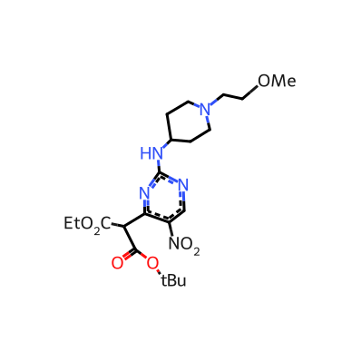 CCOC(=O)C(C(=O)OC(C)(C)C)c1nc(NC2CCN(CCOC)CC2)ncc1[N+](=O)[O-]